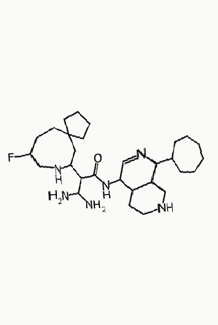 NC(N)C(C(=O)NC1C=NC(C2CCCCCC2)C2CNCCC12)C1CC2(CCCC2)CCC(F)CN1